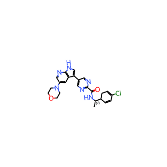 C[C@@H](NC(=O)c1ncc(-c2c[nH]c3ncc(N4CCOCC4)cc23)cn1)C1C=CC(Cl)=CC1